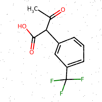 CC(=O)C(C(=O)O)c1cccc(C(F)(F)F)c1